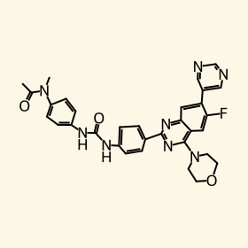 CC(=O)N(C)c1ccc(NC(=O)Nc2ccc(-c3nc(N4CCOCC4)c4cc(F)c(-c5cncnc5)cc4n3)cc2)cc1